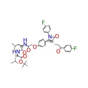 CC(C)C[C@H](NC(=O)[C@@H](CC(C)C)NC(=O)COc1ccc([C@@H]2[C@@H](CCC(=O)c3ccc(F)cc3)C(=O)N2c2ccc(F)cc2)cc1)C(=O)OC(C)(C)C